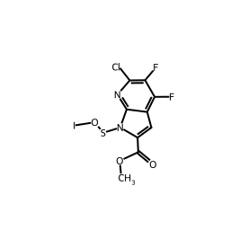 COC(=O)c1cc2c(F)c(F)c(Cl)nc2n1SOI